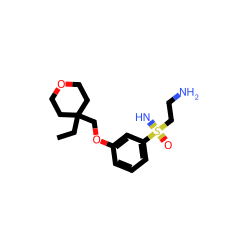 CCC1(COc2cccc(S(=N)(=O)CCN)c2)CCOCC1